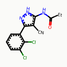 CCC(=O)Nc1[nH]nc(-c2cccc(Cl)c2Cl)c1C#N